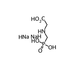 O=C(O)CNCP(=O)(O)O.[NaH].[NaH]